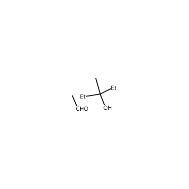 CC=O.CCC(C)(O)CC